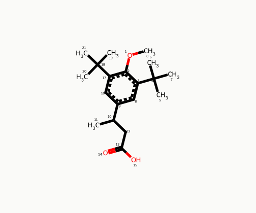 COc1c(C(C)(C)C)cc(C(C)CC(=O)O)cc1C(C)(C)C